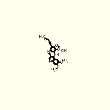 COCC#Cc1ccc(Nc2c(C#N)cnc3cc(OC)c(OC)cc23)c2c1OCO2.Cl